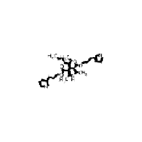 CCCCC(CC)C1C(C(=O)OCCCc2cccnc2)=C(C)NC(C)=C1C(=O)OCCCc1cccnc1